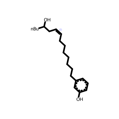 CCCCC(O)C/C=C\CCCCCCCc1cccc(O)c1